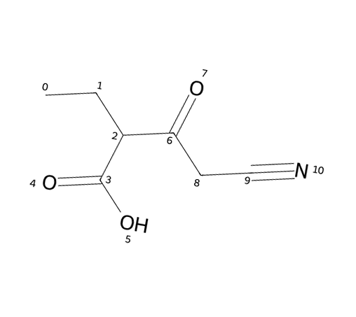 CCC(C(=O)O)C(=O)CC#N